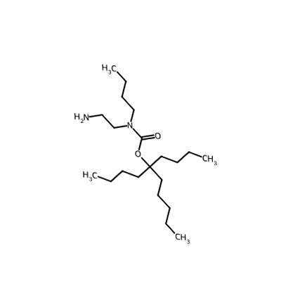 CCCCCC(CCCC)(CCCC)OC(=O)N(CCN)CCCC